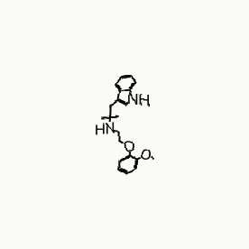 COc1ccccc1OCCNC(C)(C)Cc1c[nH]c2ccccc12